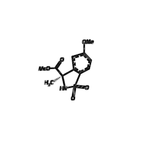 COC(=O)[C@]1(C)NS(=O)(=O)c2ccc(OC)cc21